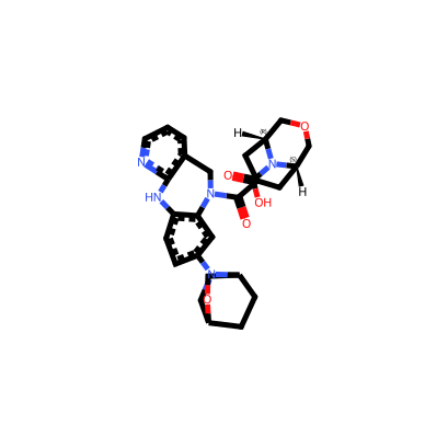 O=C(C1C[C@H]2COC[C@@H](C1)N2C(=O)O)N1Cc2cccnc2Nc2ccc(N3CC4CCC3CO4)cc21